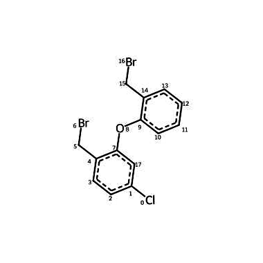 Clc1ccc(CBr)c(Oc2ccccc2CBr)c1